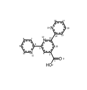 O=C(O)c1cc(-c2ccccn2)nc(-c2ccccn2)c1